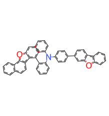 c1ccc(N(c2ccc(-c3ccc4c(c3)oc3ccccc34)cc2)c2ccccc2-c2cccc3oc4c5ccccc5ccc4c23)cc1